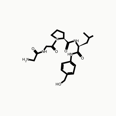 CC(C)C[C@H](NC(=O)[C@@H]1CCCN1C(=O)CNC(=O)CN)C(=O)Nc1ccc(CO)cc1